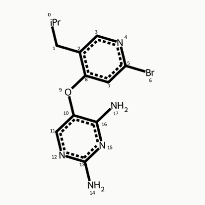 CC(C)Cc1cnc(Br)cc1Oc1cnc(N)nc1N